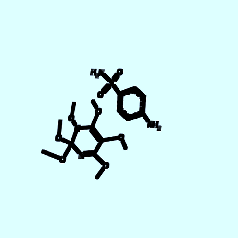 COC1=NC(OC)(OC)N(OC)C(OC)=C1OC.Nc1ccc(S(N)(=O)=O)cc1